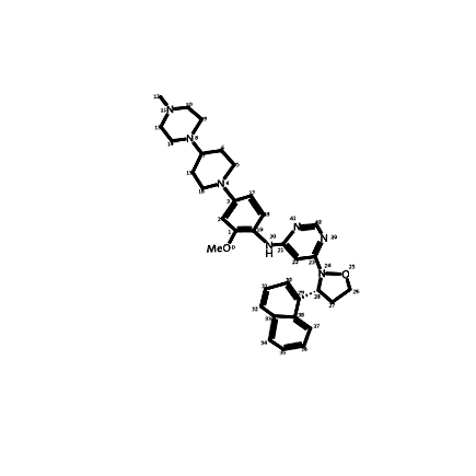 COc1cc(N2CCC(N3CCN(C)CC3)CC2)ccc1Nc1cc(N2OCC[C@@H]2c2cccc3ccccc23)ncn1